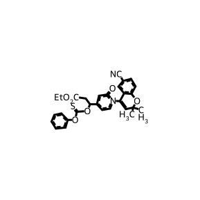 CCOC(=O)CC(OC(=S)Oc1ccccc1)c1ccn(C2=CC(C)(C)Oc3ccc(C#N)cc32)c(=O)c1